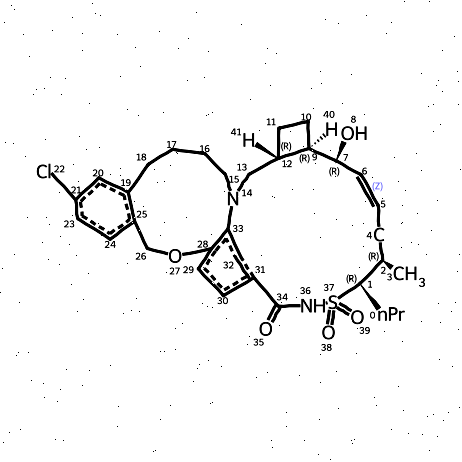 CCC[C@@H]1[C@H](C)C/C=C\[C@H](O)[C@@H]2CC[C@H]2CN2CCCCc3cc(Cl)ccc3COc3ccc(cc32)C(=O)NS1(=O)=O